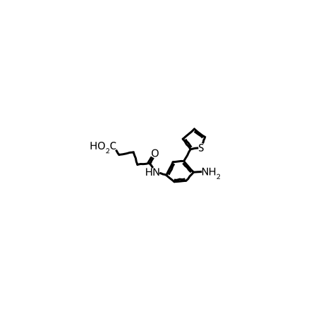 Nc1ccc(NC(=O)CCCC(=O)O)cc1-c1cccs1